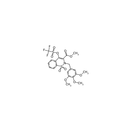 COC(=O)C1=C(OS(=O)(=O)C(F)(F)F)c2ccccc2S(=O)(=O)N1Cc1cc(OC)c(OC)c(OC)c1